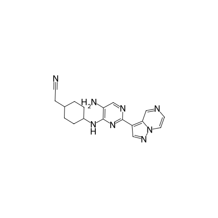 N#CCC1CCC(Nc2nc(-c3cnn4ccncc34)ncc2N)CC1